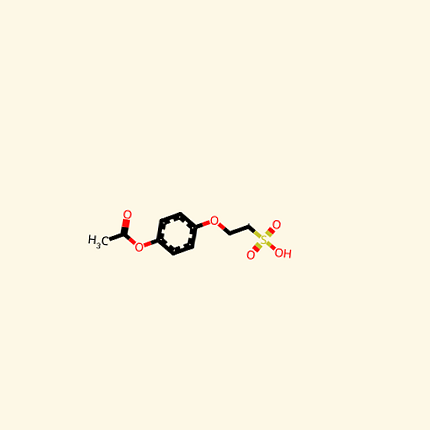 CC(=O)Oc1ccc(OC[CH]S(=O)(=O)O)cc1